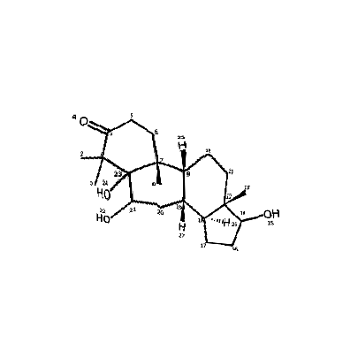 CC1(C)C(=O)CC[C@]2(C)[C@@H]3CC[C@]4(C)C(O)CC[C@H]4[C@@H]3CC(O)C12O